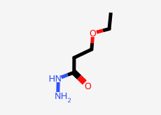 CCOCCC(=O)NN